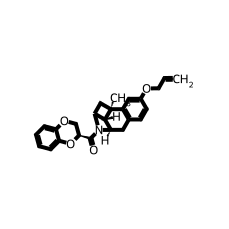 C=CCOc1ccc2c(c1)[C@]1(C)CC3[C@H]1[C@@H](C2)N3C(=O)[C@@H]1COc2ccccc2O1